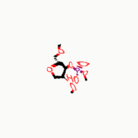 COC[C@H]1OC[C@@H](OC)C1OP(=O)(O)OC